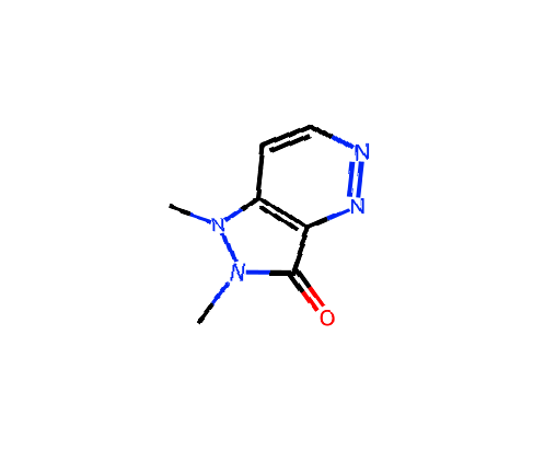 Cn1c(=O)c2nnccc2n1C